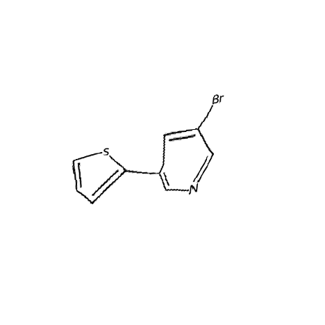 Brc1cncc(-c2cccs2)c1